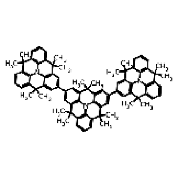 CC1(C)c2cccc3c2N2c4c1cccc4C(C)(C)c1cc(-c4cc5c6c(c4)C(C)(C)c4cc(-c7cc8c9c(c7)C(C)(C)c7cccc%10c7N9c7c(cccc7C8(C)C)C%10(C)C)cc7c4N6c4c(cccc4C7(C)C)C5(C)C)cc(c12)C3(C)C